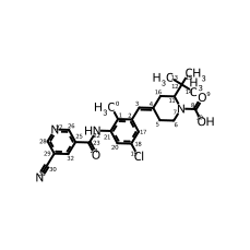 Cc1c(C=C2CCN(C(=O)O)C(C(C)(C)C)C2)cc(Cl)cc1NC(=O)c1cncc(C#N)c1